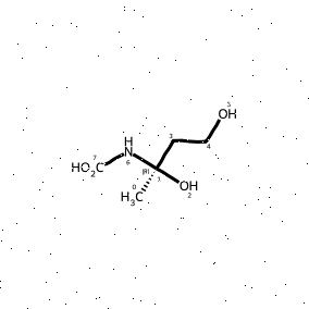 C[C@@](O)(CCO)NC(=O)O